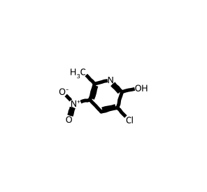 Cc1nc(O)c(Cl)cc1[N+](=O)[O-]